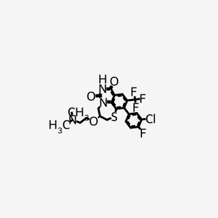 CN(C)CCO[C@@H]1CSc2c(-c3ccc(F)c(Cl)c3)c(C(F)(F)F)cc3c(=O)[nH]c(=O)n(c23)C1